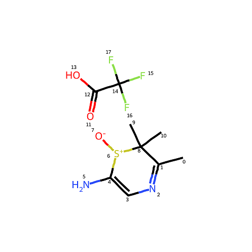 CC1=NC=C(N)[S+]([O-])C1(C)C.O=C(O)C(F)(F)F